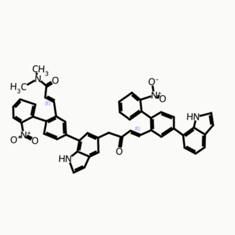 CN(C)C(=O)/C=C/c1cc(-c2cc(CC(=O)/C=C/c3cc(-c4cccc5cc[nH]c45)ccc3-c3ccccc3[N+](=O)[O-])cc3cc[nH]c23)ccc1-c1ccccc1[N+](=O)[O-]